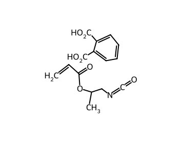 C=CC(=O)OC(C)CN=C=O.O=C(O)c1ccccc1C(=O)O